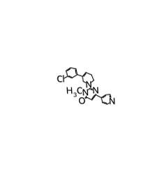 Cn1c(N2CCC=C(c3cccc(Cl)c3)C2)nc(-c2ccncc2)cc1=O